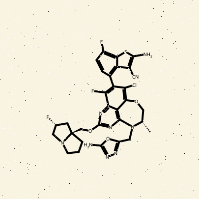 C[C@H]1COc2c(Cl)c(-c3ccc(F)c4sc(N)c(C#N)c34)c(F)c3nc(OC[C@@]45CCCN4C[C@H](F)C5)nc(c23)N1Cc1nnc(N)o1